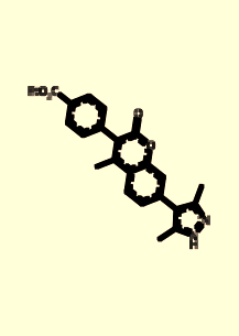 CCOC(=O)c1ccc(-c2c(C)c3ccc(-c4c(C)n[nH]c4C)cc3oc2=O)cc1